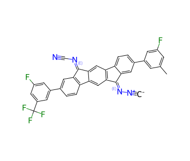 [C-]#[N+]/N=c1\c2cc(-c3cc(C)cc(F)c3)ccc2c2cc3/c(=N/C#N)c4cc(-c5cc(F)cc(C(F)(F)F)c5)ccc4c3cc12